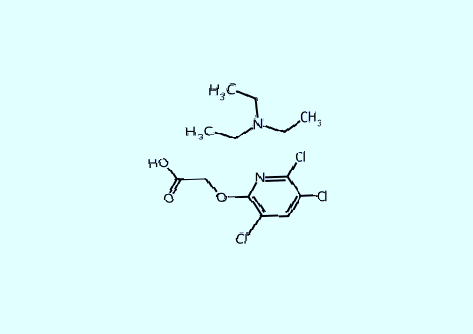 CCN(CC)CC.O=C(O)COc1nc(Cl)c(Cl)cc1Cl